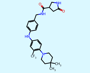 CC1(C)CCN(c2ccc(Nc3ccc(CNC(=O)C4CNC(=O)C4)cc3)cc2C(F)(F)F)CC1